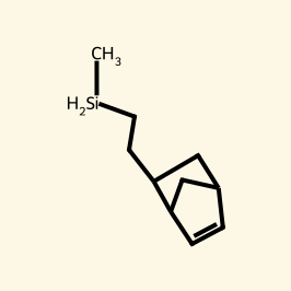 C[SiH2]CCC1CC2C=CC1C2